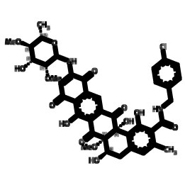 CO[C@@H]1[C@@H](O)[C@@H](OC)C(NC2=CC(=O)c3c(cc4c(c3O)C(=O)[C@]3(OC)[C@H](O)Cc5cc(C)c(C(=O)NCc6ccc(Cl)cc6)c(O)c5[C@]3(O)C4=O)C2=O)O[C@H]1C